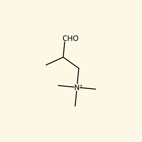 CC(C=O)C[N+](C)(C)C